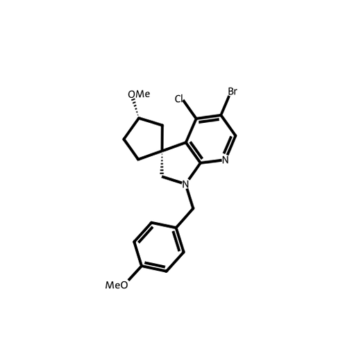 COc1ccc(CN2C[C@@]3(CC[C@H](OC)C3)c3c2ncc(Br)c3Cl)cc1